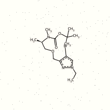 CCn1cc(Br)c(COC[C@@H](C)N(C)C(=O)OC(C)(C)C)n1